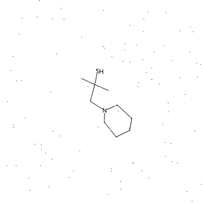 CC(C)(S)CN1CCCCC1